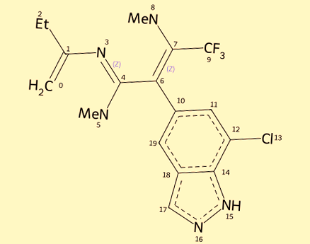 C=C(CC)/N=C(NC)/C(=C(\NC)C(F)(F)F)c1cc(Cl)c2[nH]ncc2c1